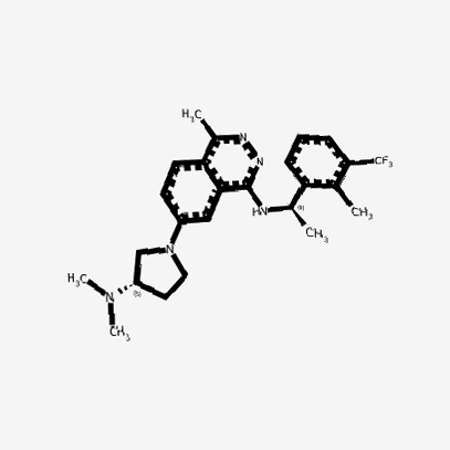 Cc1c([C@@H](C)Nc2nnc(C)c3ccc(N4CC[C@H](N(C)C)C4)cc23)cccc1C(F)(F)F